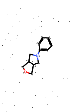 c1ccc(N2CC3COCC3C2)cc1